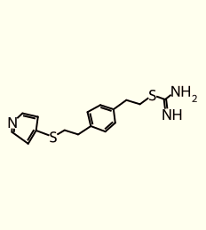 N=C(N)SCCc1ccc(CCSc2ccncc2)cc1